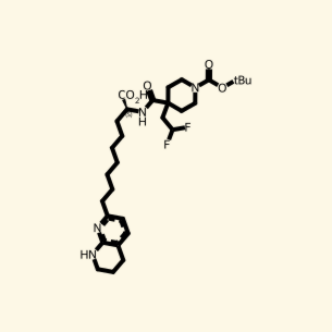 CC(C)(C)OC(=O)N1CCC(CC(F)F)(C(=O)N[C@@H](CCCCCCCc2ccc3c(n2)NCCC3)C(=O)O)CC1